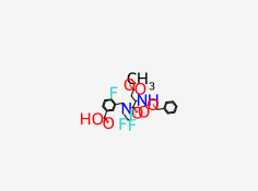 COC(=O)CC(NC(=O)OCc1ccccc1)C(=O)N(Cc1cc(C(=O)O)ccc1F)CC(F)(F)F